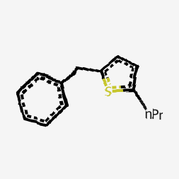 CCCc1ccc(Cc2ccccc2)s1